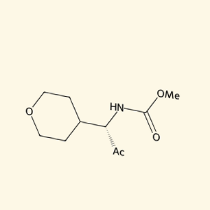 COC(=O)N[C@H](C(C)=O)C1CCOCC1